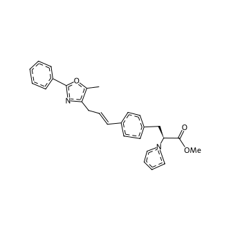 COC(=O)[C@H](Cc1ccc(C=CCc2nc(-c3ccccc3)oc2C)cc1)n1cccc1